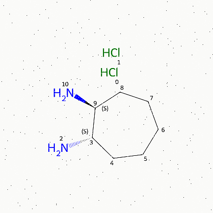 Cl.Cl.N[C@H]1CCCCC[C@@H]1N